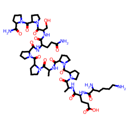 CC(NC(=O)C(CCC(=O)O)NC(=O)C(N)CCCCN)C(=O)N1CCCC1C(=O)N1CCCC1C(=O)NC(C)C(=O)N1CCCC1C(=O)N1CCCC1C(=O)NC(CCC(N)=O)C(=O)NC(CO)C(=O)N1CCCC1C(=O)N1CCCC1C(N)=O